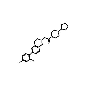 O=C(CN1CCc2cc(-c3ccc(F)cc3F)ccc2C1)N1CCN(C2CCCC2)CC1